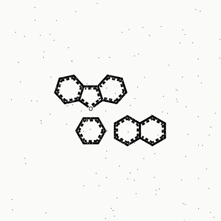 [c]1ccccc1.c1ccc2c(c1)oc1ccccc12.c1ccc2ccccc2c1